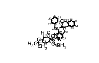 C[C@H]1C[C@H](C(C)(C)C)CCC1(C)N(O[SiH3])c1ncc2c(n1)N(Cc1ccccc1)C(=O)N(c1ccccc1Cl)C2